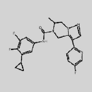 CC1Cn2ncc(-c3ccc(F)cn3)c2CN1C(=O)Nc1cc(F)c(F)c(C2CC2)c1